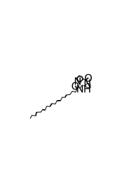 CCC=CCC=CCC=CCC=CCC=CCCCC(=O)NC[C@@H]1CCCN1C(=O)c1cccnc1